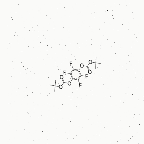 CC(C)(C)OC(=O)Oc1c(F)c(F)c(OC(=O)OC(C)(C)C)c(F)c1F